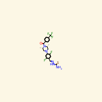 C[C@@H]1CN(c2cc(F)c(C=NNC(N)=S)cc2F)C[C@H](C)N1C(=O)c1ccc(C(F)(F)F)cc1